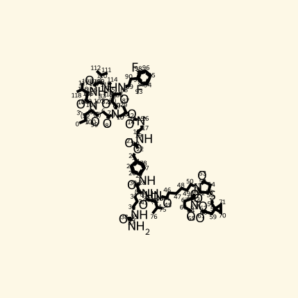 CC[C@H](C)[C@@H]([C@@H](CC(=O)N1C[C@@H](OC(=O)N(C)CCNC(=O)OCc2ccc(NC(=O)[C@H](CCCNC(N)=O)NC(=O)[C@@H](NC(=O)CCCCCN3C(=O)CC(SCC4(CC(=O)ON5C(=O)CCC5=O)CC4)C3=O)C(C)C)cc2)C[C@H]1[C@H](OC)[C@@H](C)C(=O)NCCc1c(F)cccc1F)OC)N(C)C(=O)[C@@H](NC(=O)[C@H](C(C)C)N(C)C)C(C)C